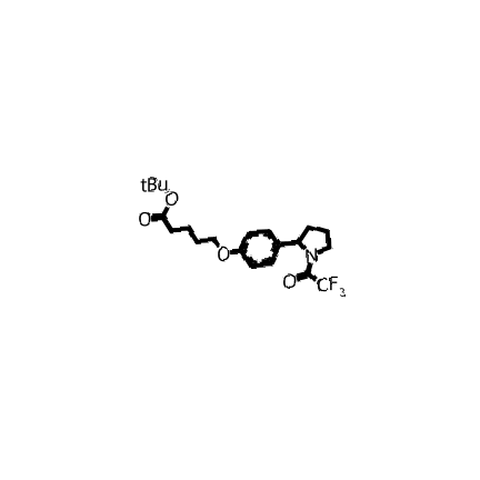 CC(C)(C)OC(=O)CCCCOc1ccc(C2CCCN2C(=O)C(F)(F)F)cc1